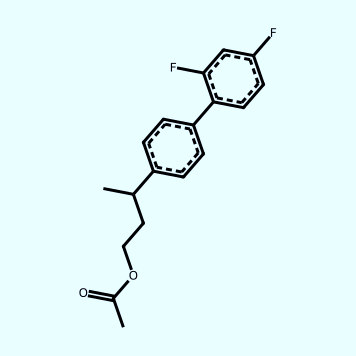 CC(=O)OCCC(C)c1ccc(-c2ccc(F)cc2F)cc1